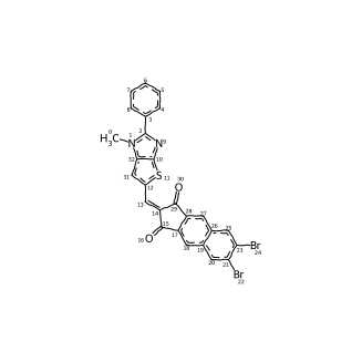 Cn1c(-c2ccccc2)nc2sc(C=C3C(=O)c4cc5cc(Br)c(Br)cc5cc4C3=O)cc21